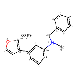 CCOC(=O)c1occc1-c1cccc(N(Cc2ccccc2)C(C)=O)c1